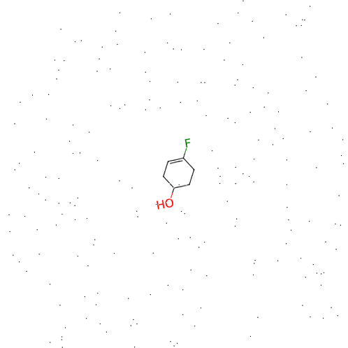 OC1CC=C(F)CC1